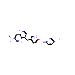 COc1ccc(COc2ncc(Cc3ccnc4cc(N(C)C)cnc34)cc2OC)nc1